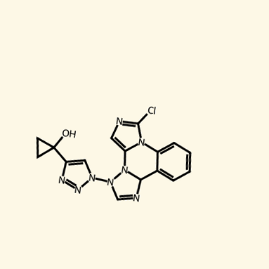 OC1(c2cn(N3C=NC4c5ccccc5-n5c(cnc5Cl)N43)nn2)CC1